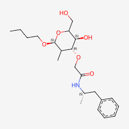 CCCCO[C@H]1OC(CO)[C@@H](O)[C@H](OCC(=O)N[C@@H](C)Cc2ccccc2)C1C